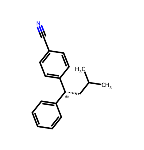 CC(C)C[C@H](c1ccccc1)c1ccc(C#N)cc1